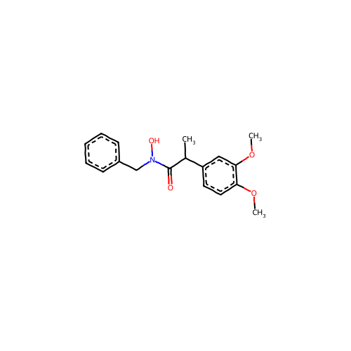 COc1ccc(C(C)C(=O)N(O)Cc2ccccc2)cc1OC